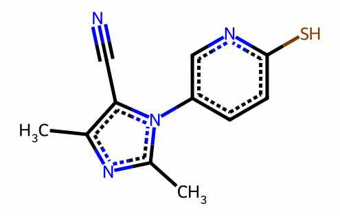 Cc1nc(C)n(-c2ccc(S)nc2)c1C#N